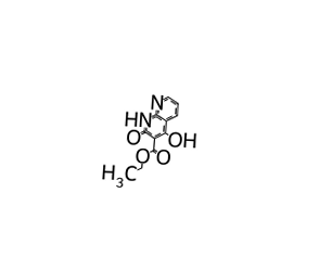 CCOC(=O)c1c(O)c2cccnc2[nH]c1=O